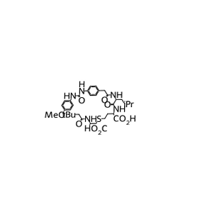 COc1ccc(NC(=O)Nc2ccc(CC(=O)NC(CC(C)C)C(=O)NC(CCSCC(NC(=O)CC(C)(C)C)C(=O)O)C(=O)O)cc2)cc1